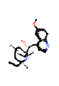 C=C[C@H]1C[C@@H]2CCN1[C@@H]([C@H](O)c1ccnc3ccc(OC)cc13)C2